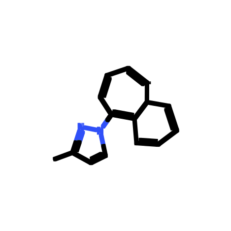 Cc1ccn(C2=C3C=CC=CC3[C]=CC=C2)n1